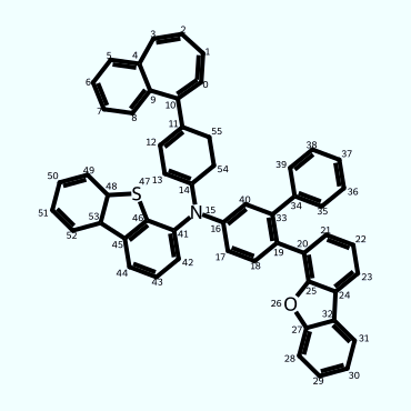 C1=CC=Cc2ccccc2C=1C1=CC=C(N(c2ccc(-c3cccc4c3oc3ccccc34)c(-c3ccccc3)c2)c2cccc3c2SC2C=CC=CC32)CC1